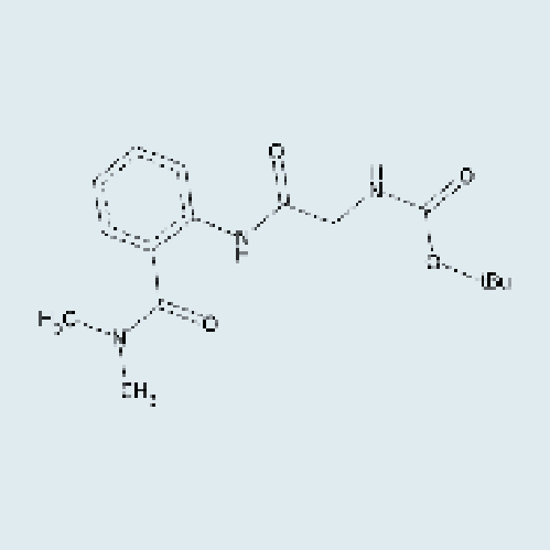 CN(C)C(=O)c1ccccc1NC(=O)CNC(=O)OC(C)(C)C